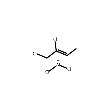 [CH2]C=C(Cl)CCl.[Cl][AlH][Cl]